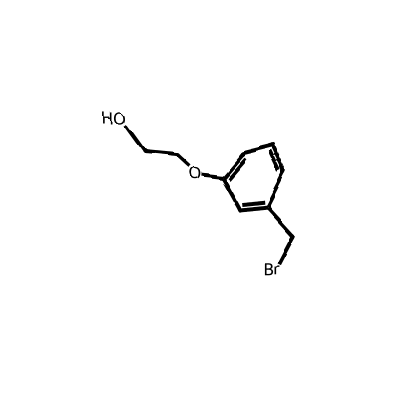 OCCOc1cccc(CBr)c1